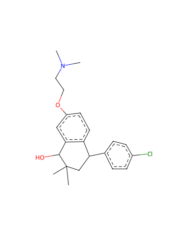 CN(C)CCOc1ccc2c(c1)C(O)C(C)(C)CC2c1ccc(Cl)cc1